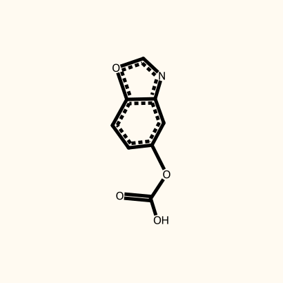 O=C(O)Oc1ccc2ocnc2c1